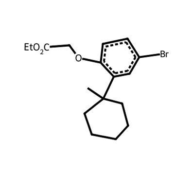 CCOC(=O)COc1ccc(Br)cc1C1(C)CCCCC1